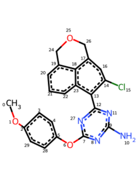 COc1ccc(Oc2nc(N)nc(-c3c(Cl)cc4c5c(cccc35)COC4)n2)cc1